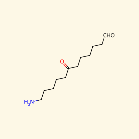 NCCCCCC(=O)CCCCCC=O